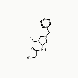 CC(C)(C)OC(=O)N[C@H]1CN(Cc2ccccc2)C[C@@H]1CF